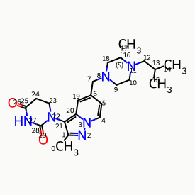 Cc1nn2ccc(CN3CCN(CC(C)C)[C@@H](C)C3)cc2c1N1CCC(=O)NC1=O